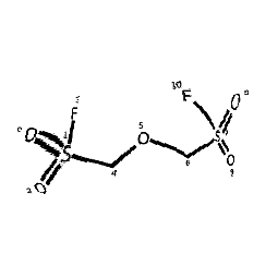 O=S(=O)(F)COCS(=O)(=O)F